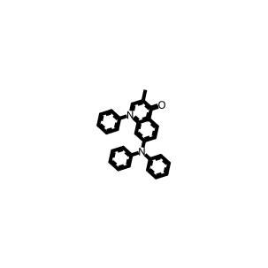 Cc1cn(-c2ccccc2)c2cc(N(c3ccccc3)c3ccccc3)ccc2c1=O